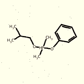 CC(C)CO[PH](C)(C)Oc1ccccc1